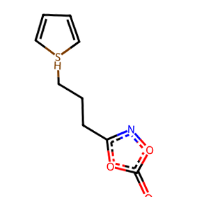 O=c1onc(CCC[SH]2C=CC=C2)o1